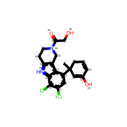 CC1(c2cc(Cl)c(Cl)c3[nH]c4c(c23)CN(C(=O)CO)CC4)C=C(O)C=CC1